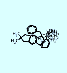 CC1(C)Cc2cc3c(cc2C1)[C](Cc1ccccc1)([Hf]([CH3])([CH3])([CH3])([CH3])([CH3])([CH3])([CH3])[CH]1C=CC=C1)C=C3